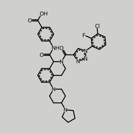 O=C(O)c1ccc(NC(=O)C2c3cccc(N4CCC(N5CCCC5)CC4)c3CCN2C(=O)c2cn(-c3cccc(Cl)c3F)nn2)cc1